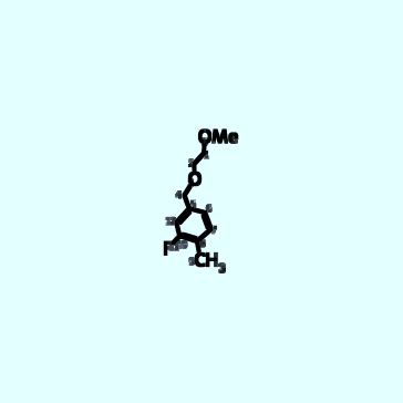 COCCOCc1ccc(C)c(F)c1